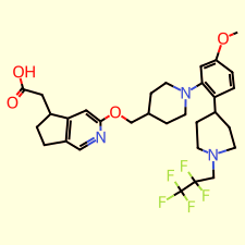 COc1ccc(C2CCN(CC(F)(F)C(F)(F)F)CC2)c(N2CCC(COc3cc4c(cn3)CCC4CC(=O)O)CC2)c1